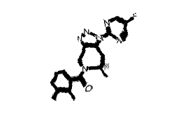 Cc1cccc(C(=O)N2Cc3nnn(-c4ncc(F)cn4)c3C[C@H]2C)c1C